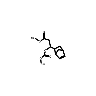 CC(C)(C)OC(=O)CC(OC(=O)OC(C)(C)C)C1CC2C=CC1C2